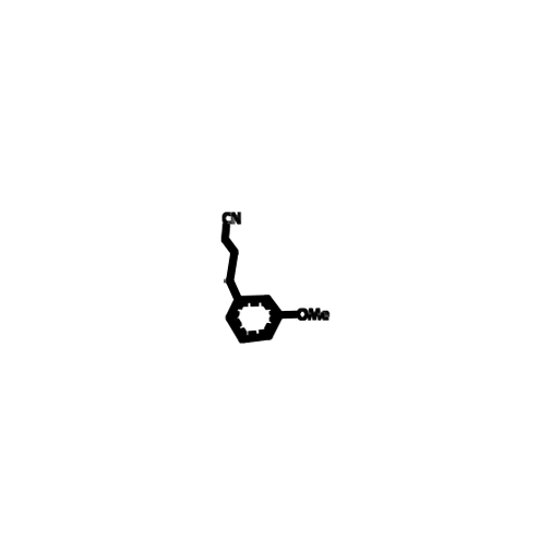 COc1cccc([CH]CCC#N)c1